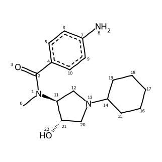 CN(C(=O)c1ccc(N)cc1)[C@H]1CN(C2CCCCC2)C[C@@H]1O